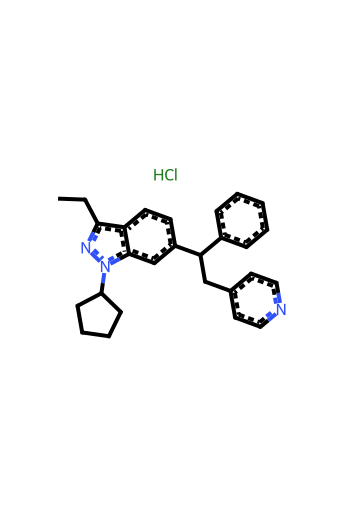 CCc1nn(C2CCCC2)c2cc(C(Cc3ccncc3)c3ccccc3)ccc12.Cl